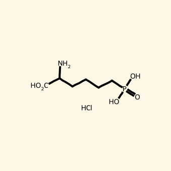 Cl.NC(CCCCP(=O)(O)O)C(=O)O